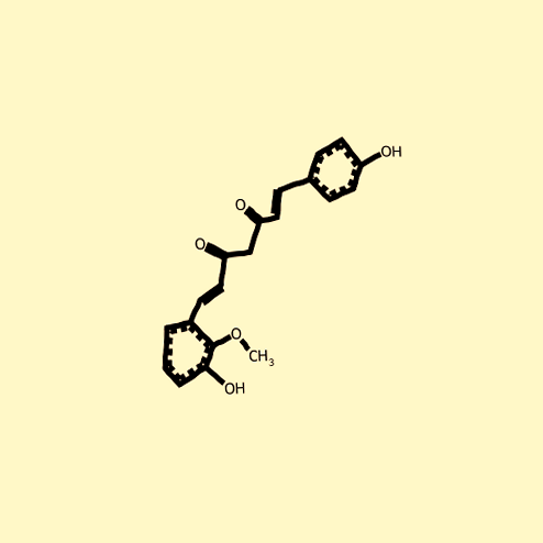 COc1c(O)cccc1C=CC(=O)CC(=O)C=Cc1ccc(O)cc1